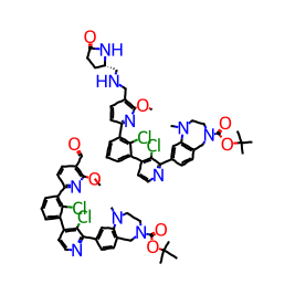 COc1nc(-c2cccc(-c3ccnc(-c4ccc5c(c4)N(C)CCN(C(=O)OC(C)(C)C)C5)c3Cl)c2Cl)ccc1C=O.COc1nc(-c2cccc(-c3ccnc(-c4ccc5c(c4)N(C)CCN(C(=O)OC(C)(C)C)C5)c3Cl)c2Cl)ccc1CNC[C@@H]1CCC(=O)N1